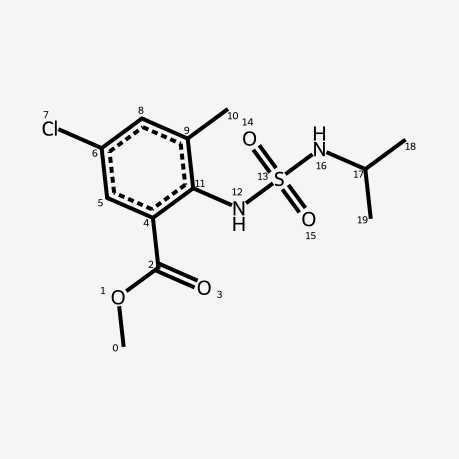 COC(=O)c1cc(Cl)cc(C)c1NS(=O)(=O)NC(C)C